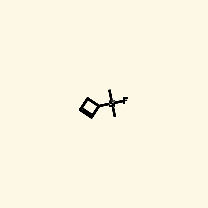 C[Si](C)(F)C1C=CC1